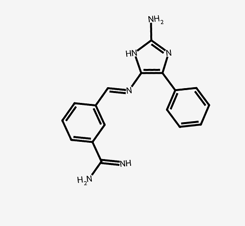 N=C(N)c1cccc(C=Nc2[nH]c(N)nc2-c2ccccc2)c1